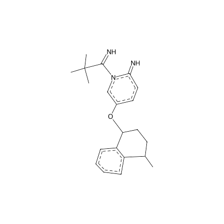 CC1CCC(Oc2ccc(=N)n(C(=N)C(C)(C)C)c2)c2ccccc21